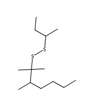 CCCCC(C)C(C)(C)SSC(C)CC